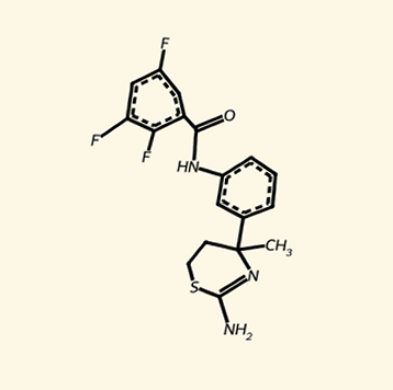 CC1(c2cccc(NC(=O)c3cc(F)cc(F)c3F)c2)CCSC(N)=N1